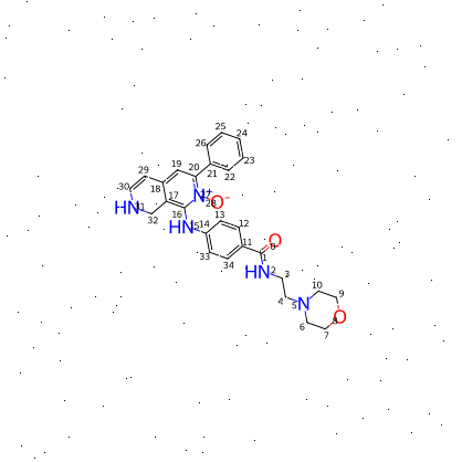 O=C(NCCN1CCOCC1)c1ccc(Nc2c3c(cc(-c4ccccc4)[n+]2[O-])C=CNC3)cc1